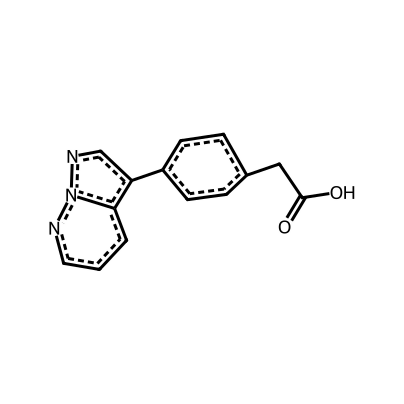 O=C(O)Cc1ccc(-c2cnn3ncccc23)cc1